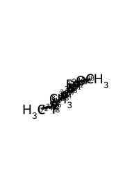 CCCCCc1cc(C)c(C#Cc2ccc(-c3ccc(-c4ccc(OCCCC)cc4)c(F)c3)cc2)cc1F